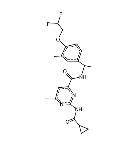 Cc1cc(C(=O)NC(C)c2ccc(OCC(F)F)c(C)c2)nc(NC(=O)C2CC2)n1